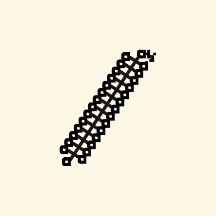 [CH2]C(Cl)(Cl)C(Cl)(Cl)C(Cl)(Cl)C(Cl)(Cl)C(Cl)(Cl)C(Cl)(Cl)C(Cl)(Cl)C(Cl)(Cl)C(Cl)(Cl)C(Cl)(Cl)C(Cl)(Cl)C(Cl)(Cl)C(Cl)(Cl)C(Cl)(Cl)Cl